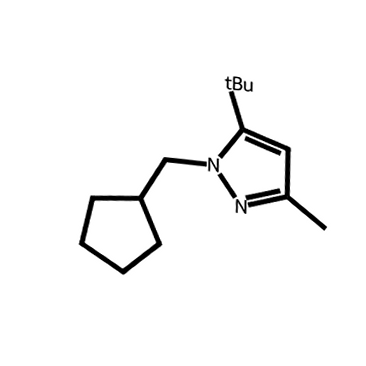 Cc1cc(C(C)(C)C)n(CC2CCCC2)n1